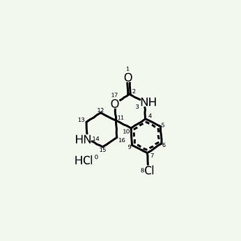 Cl.O=C1Nc2ccc(Cl)cc2C2(CCNCC2)O1